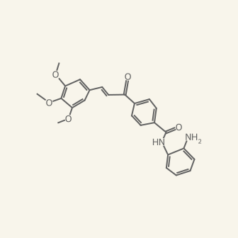 COc1cc(C=CC(=O)c2ccc(C(=O)Nc3ccccc3N)cc2)cc(OC)c1OC